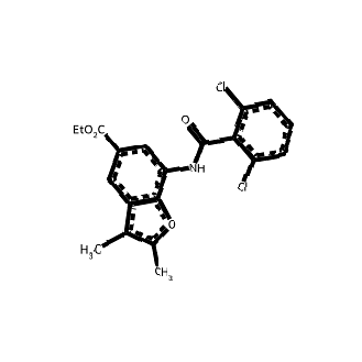 CCOC(=O)c1cc(NC(=O)c2c(Cl)cccc2Cl)c2oc(C)c(C)c2c1